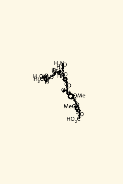 CCCCC(C)(C)C1CC(=O)N(CCOCCC(=O)NC(C(=O)N[C@@H](CCCNC(N)=O)C(=O)Nc2ccc(COC(=O)CC/C(=C3/CO3)N3CC4=C(CC/C=C(OCCCOc5cc6cc(C(=O)CCC(=O)O)sc6cc5OC)\C(OC)=C/4)C3)cc2)C(C)C)C1=O